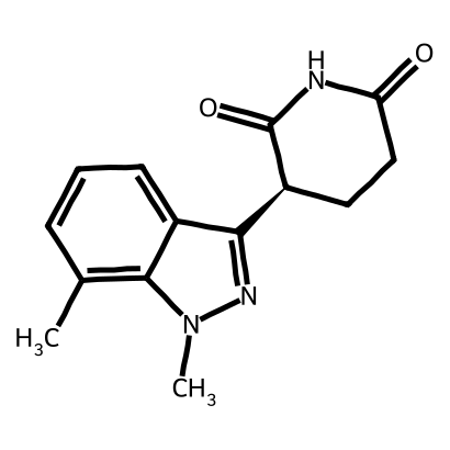 Cc1cccc2c([C@@H]3CCC(=O)NC3=O)nn(C)c12